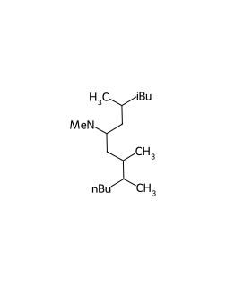 CCCCC(C)C(C)CC(CC(C)C(C)CC)NC